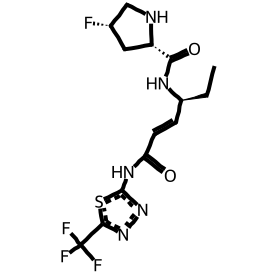 CC[C@@H](C=CC(=O)Nc1nnc(C(F)(F)F)s1)NC(=O)[C@@H]1C[C@H](F)CN1